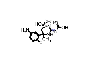 CN1/C(=N\C(=O)O)NC(C)(c2cc(N)ccc2F)CS1(O)O